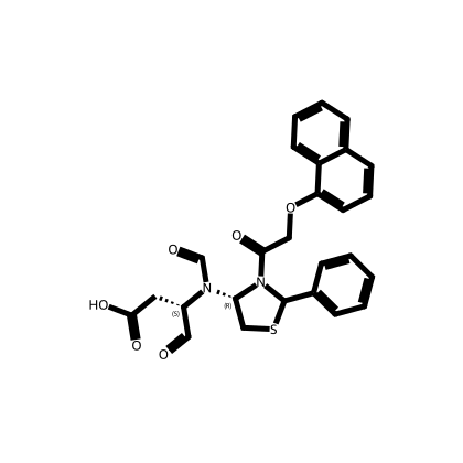 O=C[C@H](CC(=O)O)N(C=O)[C@H]1CSC(c2ccccc2)N1C(=O)COc1cccc2ccccc12